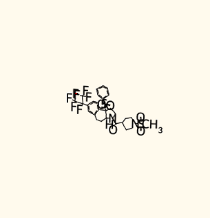 CS(=O)(=O)N1CCC(C(=O)N2CC[C@@]3(S(=O)(=O)c4ccccc4)c4ccc(C(F)(C(F)(F)F)C(F)(F)F)cc4CC[C@@H]23)CC1